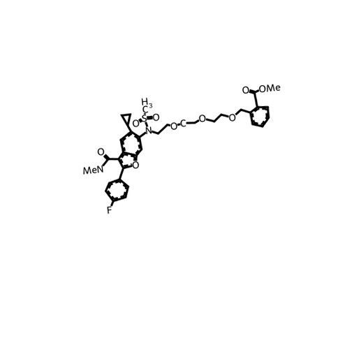 CNC(=O)c1c(-c2ccc(F)cc2)oc2cc(N(CCOCCOCCOCc3ccccc3C(=O)OC)S(C)(=O)=O)c(C3CC3)cc12